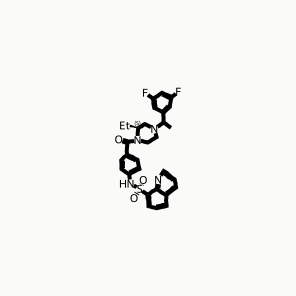 CC[C@H]1CN(C(C)c2cc(F)cc(F)c2)CCN1C(=O)c1ccc(NS(=O)(=O)c2cccc3cccnc23)cc1